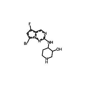 OC1CNCCC1Nc1ncc2c(F)cc(Br)n2n1